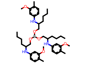 CCCCC(COB(OCC(CCCC)Nc1ccc(C)c(OC)c1)OCC(CCCC)Nc1ccc(C)c(OC)c1)Nc1ccc(C)c(OC)c1